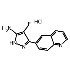 Cl.Nc1[nH]nc(-c2ccc3ncccc3c2)c1F